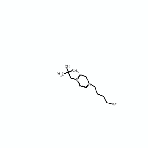 CC(C)CCCCN1CCN(CC(C)(C)O)CC1